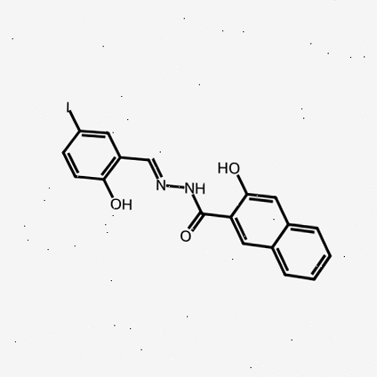 O=C(N/N=C/c1cc(I)ccc1O)c1cc2ccccc2cc1O